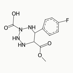 COC(=O)C1NNN(C(=O)O)NC1c1ccc(F)cc1